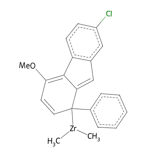 COC1=C2C(=Cc3cc(Cl)ccc32)[C](c2ccccc2)([Zr]([CH3])[CH3])C=C1